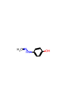 C=NNc1ccc(O)cc1